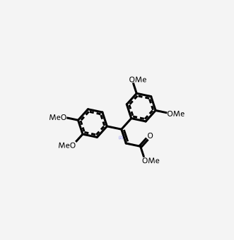 COC(=O)/C=C(\c1cc(OC)cc(OC)c1)c1ccc(OC)c(OC)c1